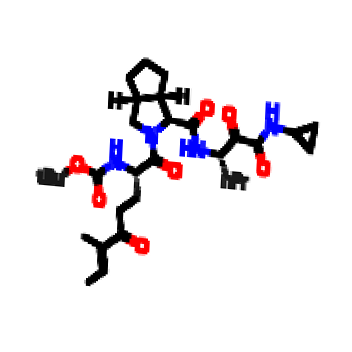 C/C=C(\C)C(=O)CC[C@H](NC(=O)OC(C)(C)C)C(=O)N1C[C@@H]2CCC[C@@H]2[C@H]1C(=O)N[C@@H](CCC)C(=O)C(=O)NC1CC1